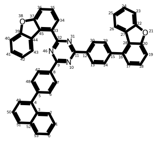 c1ccc2c(-c3ccc(-c4nc(-c5ccc(-c6cccc7oc8ccccc8c67)cc5)nc(-c5cccc6oc7ccccc7c56)n4)cc3)cccc2c1